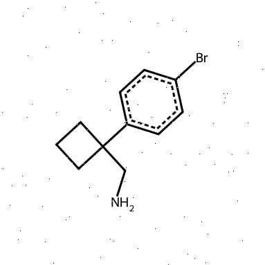 NCC1(c2ccc(Br)cc2)CCC1